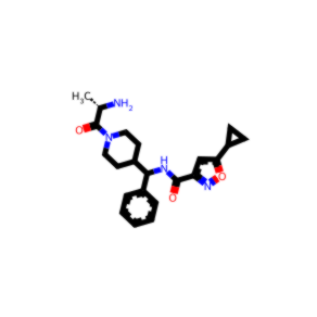 C[C@H](N)C(=O)N1CCC(C(NC(=O)c2cc(C3CC3)on2)c2ccccc2)CC1